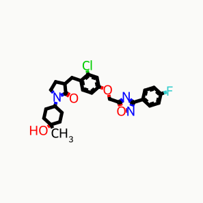 CC1(O)CCC(N2CCC(Cc3ccc(OCc4nc(-c5ccc(F)cc5)no4)cc3Cl)C2=O)CC1